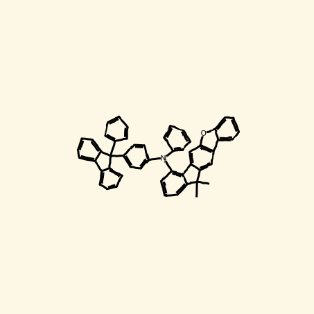 CC1(C)c2cc3c(cc2-c2c(N(c4ccccc4)c4ccc(C5(c6ccccc6)c6ccccc6-c6ccccc65)cc4)cccc21)oc1ccccc13